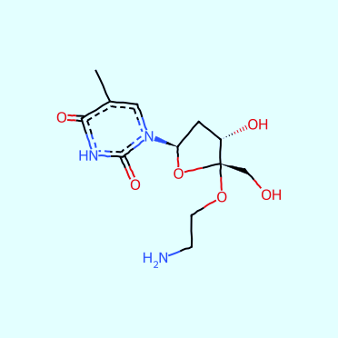 Cc1cn([C@H]2C[C@H](O)[C@](CO)(OCCN)O2)c(=O)[nH]c1=O